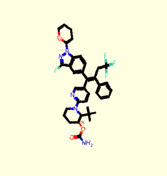 CC(C)(C)C1[C@@H](OC(N)=O)CCCN1c1ccc(/C(=C(/CC(F)(F)F)c2ccccc2)c2ccc3c(c2)c(F)nn3C2CCCCO2)cn1